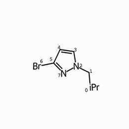 CC(C)Cn1ccc(Br)n1